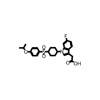 CC(C)Oc1ccc(S(=O)(=O)C2CCC(n3cc(CC(=O)O)c4ccc(F)cc43)CC2)cc1